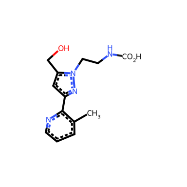 Cc1cccnc1-c1cc(CO)n(CCNC(=O)O)n1